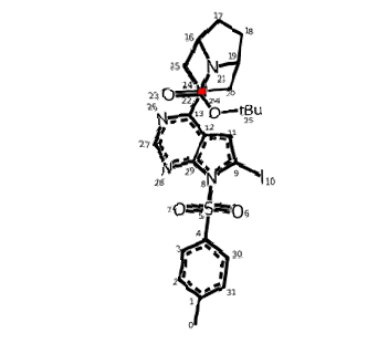 Cc1ccc(S(=O)(=O)n2c(I)cc3c(N4CC5CCC(C4)N5C(=O)OC(C)(C)C)ncnc32)cc1